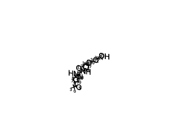 CC(C)(C)C(=O)c1ccc2[nH]c(C(=O)Nc3ccc(OCCOCCO)cc3)nc2c1